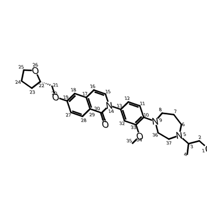 COCC(C)N1CCCN(c2ccc(-n3ccc4cc(OC[C@@H]5CCCO5)ccc4c3=O)cc2OC)CC1